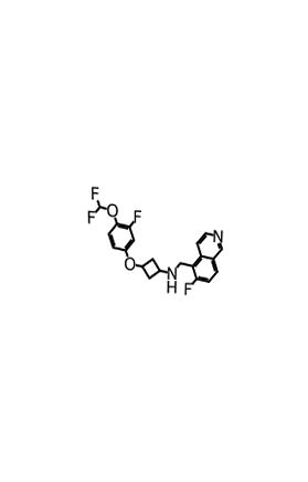 Fc1cc(OC2CC(NCc3c(F)ccc4cnccc34)C2)ccc1OC(F)F